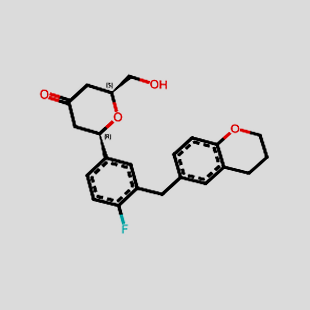 O=C1C[C@@H](CO)O[C@@H](c2ccc(F)c(Cc3ccc4c(c3)CCCO4)c2)C1